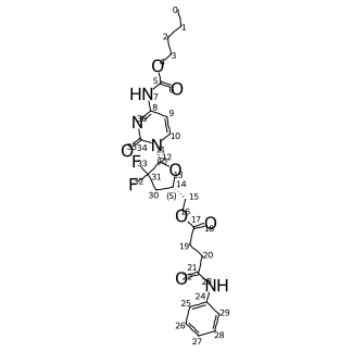 CCCCOC(=O)Nc1ccn([C@@H]2O[C@H](COC(=O)CCC(=O)Nc3ccccc3)CC2(F)F)c(=O)n1